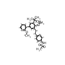 COc1ncccc1-c1cc(CCc2ccc(NS(C)(=O)=O)cn2)c(OC)c(C(C)(C)C)c1